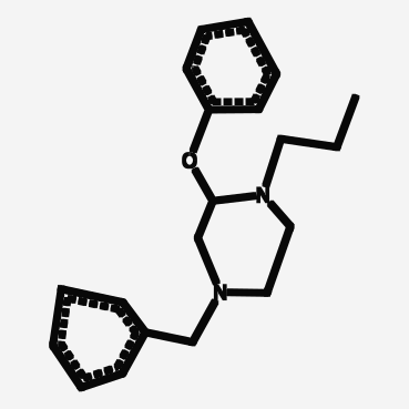 CCCN1CCN(Cc2ccccc2)CC1Oc1ccccc1